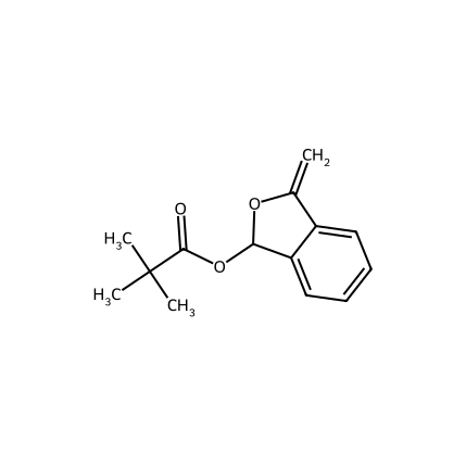 C=C1OC(OC(=O)C(C)(C)C)c2ccccc21